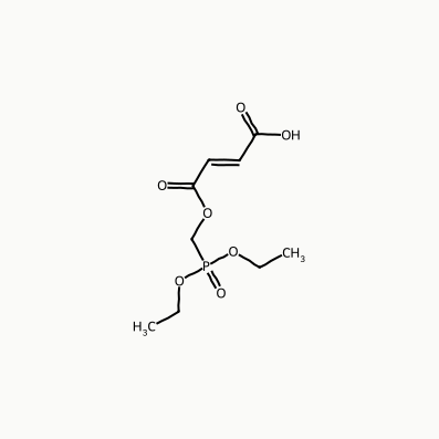 CCOP(=O)(COC(=O)/C=C/C(=O)O)OCC